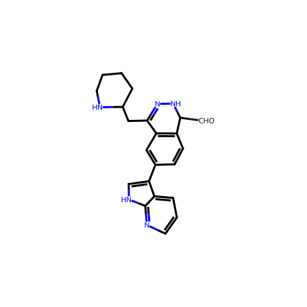 O=CC1NN=C(CC2CCCCN2)c2cc(-c3c[nH]c4ncccc34)ccc21